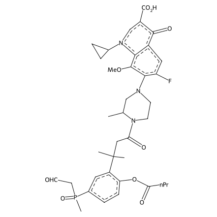 CCCC(=O)Oc1ccc(P(C)(=O)CC=O)cc1C(C)(C)CC(=O)N1CCN(c2c(F)cc3c(=O)c(C(=O)O)cn(C4CC4)c3c2OC)CC1C